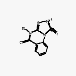 CCn1c(=O)c2ccccc2n2c(=S)[nH]nc12